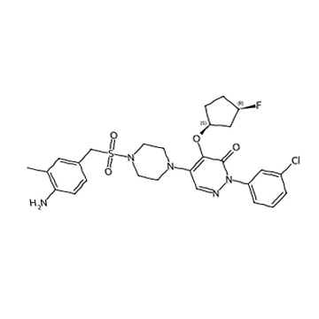 Cc1cc(CS(=O)(=O)N2CCN(c3cnn(-c4cccc(Cl)c4)c(=O)c3O[C@H]3CC[C@@H](F)C3)CC2)ccc1N